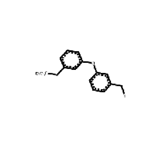 CCOC(=O)Cc1cccc(Oc2cccc(CI)c2)c1